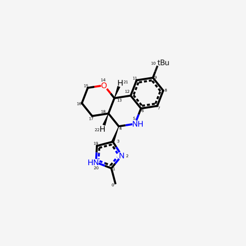 Cc1nc([C@@H]2Nc3ccc(C(C)(C)C)cc3[C@H]3OCCC[C@H]32)c[nH]1